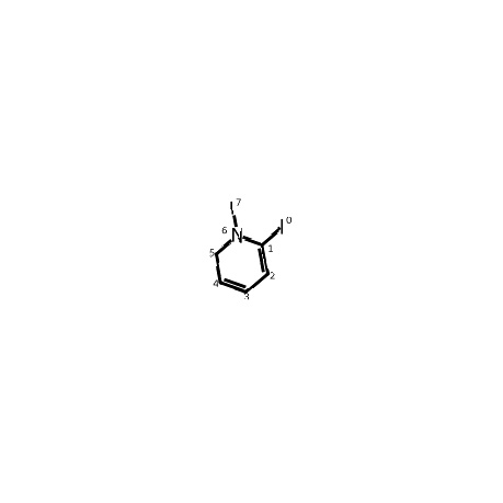 IC1=CC=CCN1I